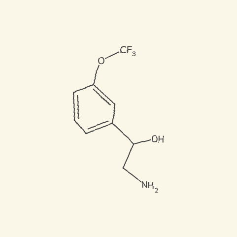 NCC(O)c1cccc(OC(F)(F)F)c1